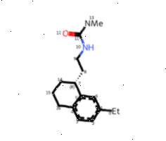 CCc1ccc2c(c1)[C@@H](CCNC(=O)NC)CCC2